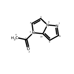 CC(=O)n1ccn2nccc12